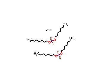 CCCCCCCOP(=S)([S-])OCCCCCCC.CCCCCCCOP(=S)([S-])OCCCCCCC.[Zn+2]